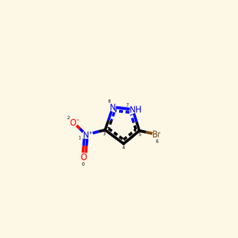 O=[N+]([O-])c1cc(Br)[nH]n1